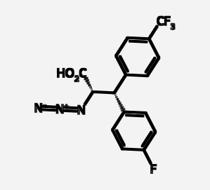 [N-]=[N+]=N[C@H](C(=O)O)[C@@H](c1ccc(F)cc1)c1ccc(C(F)(F)F)cc1